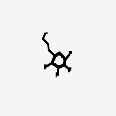 [CH2]CCCc1cc(F)c(F)c(F)c1F